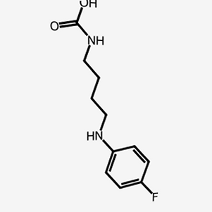 O=C(O)NCCCCNc1ccc(F)cc1